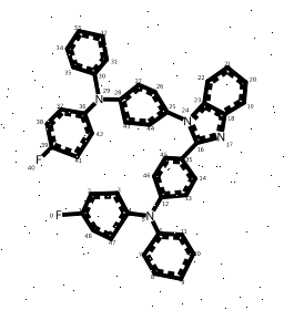 Fc1ccc(N(c2ccccc2)c2ccc(-c3nc4ccccc4n3-c3ccc(N(c4ccccc4)c4ccc(F)cc4)cc3)cc2)cc1